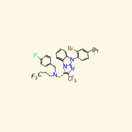 CC(C)c1ccc(-n2c3ccccc3n3c(CN(CCC(F)(F)F)Cc4ccc(F)cc4)c(C(F)(F)F)nc23)c(Br)c1